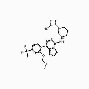 COCOc1cc(C(F)(F)F)ccc1-c1nnc(N[C@@H]2CCCN(C3CCC3O)C2)n2nccc12